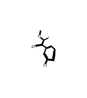 COC(F)C(=O)c1cccc(Cl)c1